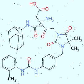 Cc1ccccc1NC(=O)Nc1ccc(CN2C(=O)N(CC(=O)[C@](N)(CC(=O)O)C(=O)NC3C4CC5CC(C4)CC3C5)C(=O)C2(C)C)cc1